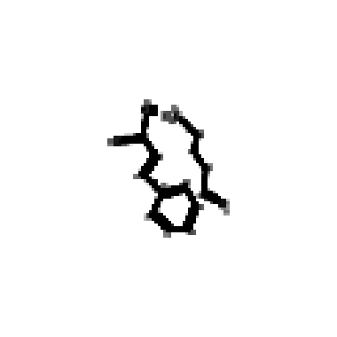 CCCCC=O.O=C(O)C=Cc1ccccc1